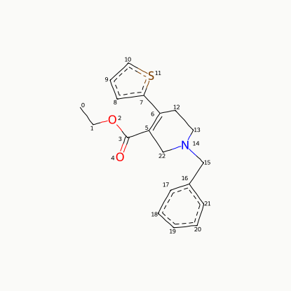 CCOC(=O)C1=C(c2cccs2)CCN(Cc2ccccc2)C1